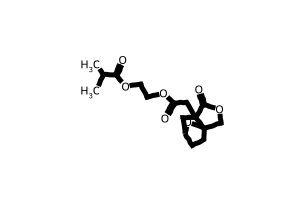 CC(C)C(=O)OCCOC(=O)CC12CC3CCC1(COC2=O)O3